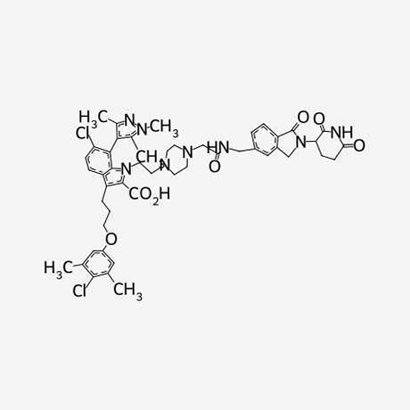 Cc1cc(OCCCc2c(C(=O)O)n(CCN3CCN(CC(=O)NCc4ccc5c(c4)CN(C4CCC(=O)NC4=O)C5=O)CC3)c3c(-c4c(C)nn(C)c4C)c(Cl)ccc23)cc(C)c1Cl